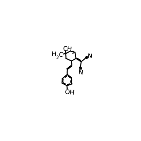 CC1(C)CCC(=C(C#N)C#N)C(C=Cc2ccc(O)cc2)C1